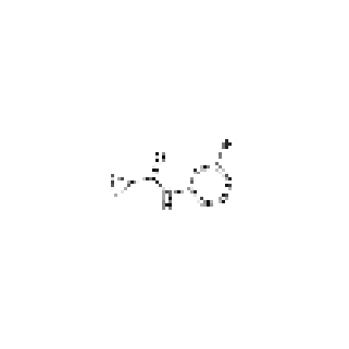 CC(C)c1cccc(NC(=O)C2CC2)c1